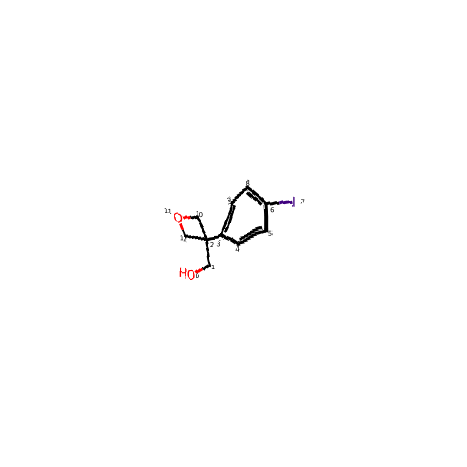 OCC1(c2ccc(I)cc2)COC1